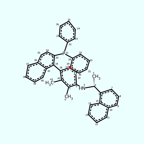 Cc1c(N[C@H](C)c2cccc3ccccc23)nnc(-c2c(P(c3ccccc3)c3ccccc3)ccc3ccccc23)c1C